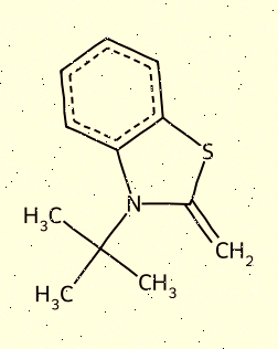 C=C1Sc2ccccc2N1C(C)(C)C